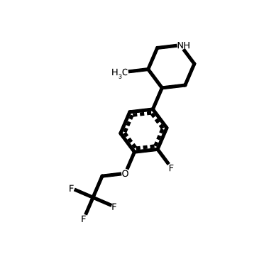 CC1CNCCC1c1ccc(OCC(F)(F)F)c(F)c1